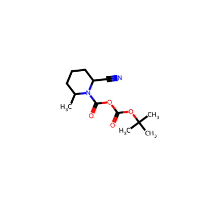 CC1CCCC(C#N)N1C(=O)OC(=O)OC(C)(C)C